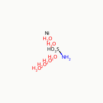 NS(=O)(=O)O.O.O.O.O.O.O.[Ni]